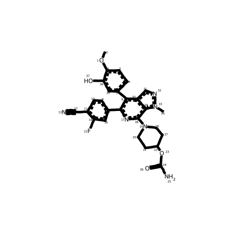 COc1ccc(-c2c(-c3ccc(C#N)c(F)c3)nc(N3CCC(OC(N)=O)CC3)c3c2cnn3C)cc1O